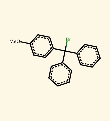 COc1ccc(C(Br)(c2ccccc2)c2ccccc2)cc1